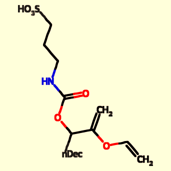 C=COC(=C)C(CCCCCCCCCC)OC(=O)NCCCS(=O)(=O)O